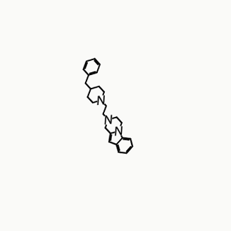 c1ccc(CC2CCN(CCN3CCn4c(cc5ccccc54)C3)CC2)cc1